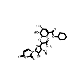 CO[C@@H]1C([C@@H](O[C@H]2OC(C(=O)OC3CCCCC3)=C[C@H](O)[C@@H]2O)C(N)=O)O[C@@H](n2ccc(=O)[nH]c2=O)[C@@H]1O